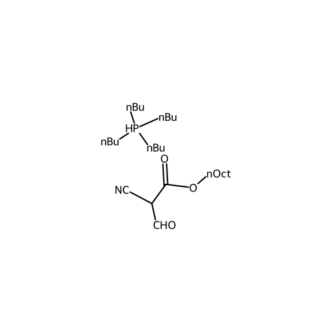 CCCCCCCCOC(=O)C(C#N)C=O.CCCC[PH](CCCC)(CCCC)CCCC